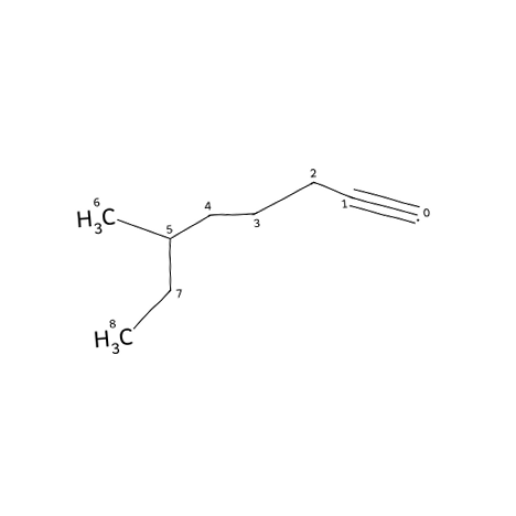 [C]#CCCCC(C)CC